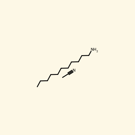 CC#N.CCCCCCCCCCCN